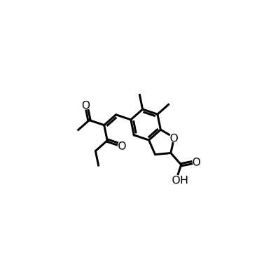 CCC(=O)C(=Cc1cc2c(c(C)c1C)OC(C(=O)O)C2)C(C)=O